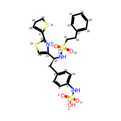 O=S(=O)(O)Nc1ccc(C[C@H](NS(=O)(=O)CCc2ccccc2)c2csc(C3=CCCS3)n2)cc1